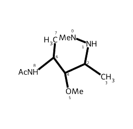 CNNC(C)C(OC)C(C)NC(C)=O